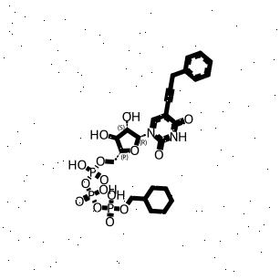 O=c1[nH]c(=O)n([C@@H]2O[C@H](COP(=O)(O)OP(=O)(O)OP(=O)(O)OCC3CCCCC3)C(O)[C@@H]2O)cc1C#CCc1ccccc1